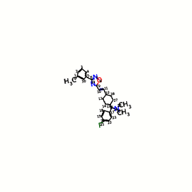 Cc1cccc(-c2noc(/C=C/C3CCC(C(c4ccc(F)cc4)N(C)C)CC3)n2)c1